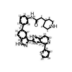 O=C(CC1CCNCC1)Nc1cccc(-c2ccc3[nH]nc(-c4nc5c(-c6cccs6)nccc5[nH]4)c3c2)c1